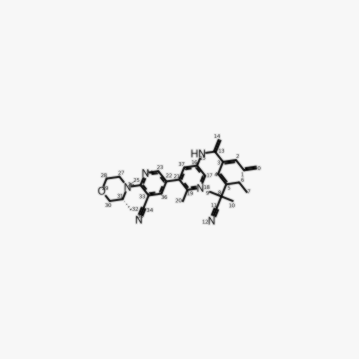 C=C/C=C(\C=C(/CC)C(C)(C)C#N)C(=C)Nc1cnc(C)c(-c2cnc(N3CCOC[C@H]3C)c(C#N)c2)c1